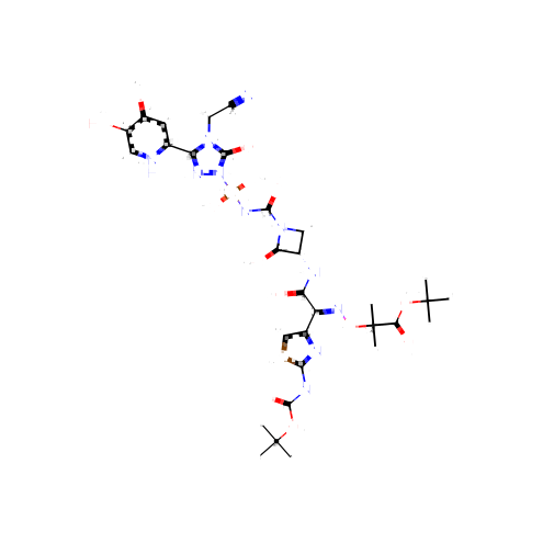 CC(C)(C)OC(=O)Nc1nc(C(=NOC(C)(C)C(=O)OC(C)(C)C)C(=O)N[C@H]2CN(C(=O)NS(=O)(=O)n3nc(-c4cc(=O)c(O)c[nH]4)n(CC#N)c3=O)C2=O)cs1